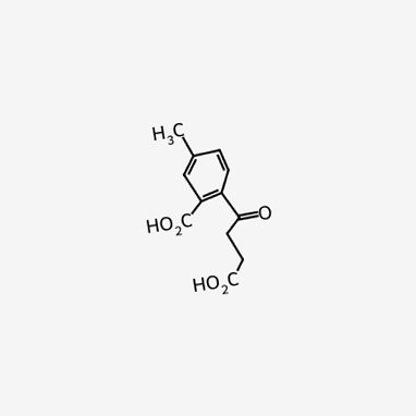 Cc1ccc(C(=O)CCC(=O)O)c(C(=O)O)c1